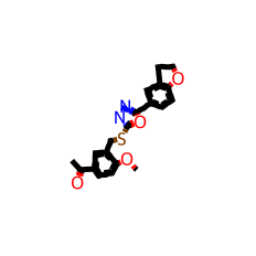 COc1ccc(C(C)=O)cc1CSc1nnc(-c2ccc3c(c2)CCO3)o1